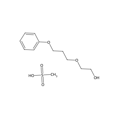 CS(=O)(=O)O.OCCOCCCOc1ccccc1